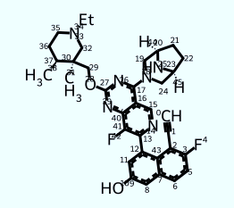 C#Cc1c(F)ccc2cc(O)cc(-c3ncc4c(N5C[C@H]6CC[C@@H](C5)N6)nc(OC[C@]5(C)CN(CC)CC[C@@H]5C)nc4c3F)c12